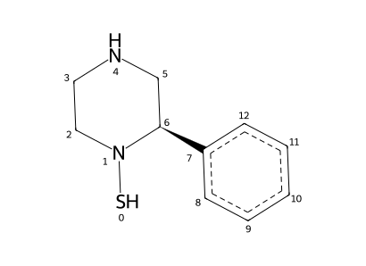 SN1CCNC[C@H]1c1ccccc1